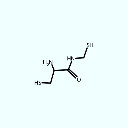 NC(CS)C(=O)NCS